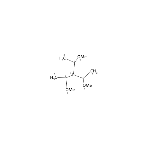 COC(C)P(C(C)OC)C(C)OC